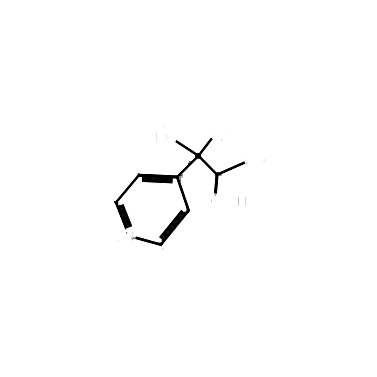 CCCCC(C(=O)O)C(C)(O)c1ccncc1